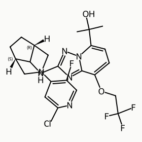 CC(C)(O)c1ccc(OCC(F)(F)F)c2nc(NC3[C@@H]4CC[C@H]3CN(c3cc(Cl)ncc3F)C4)nn12